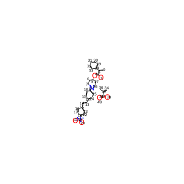 C=C(C(=O)OC1CCN(c2ccc(C=Cc3ccc([N+](=O)[O-])cc3)cc2)CC1)c1ccccc1.C=C(C)C(=O)OC